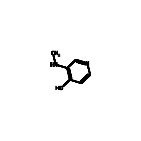 CNc1cnccc1O